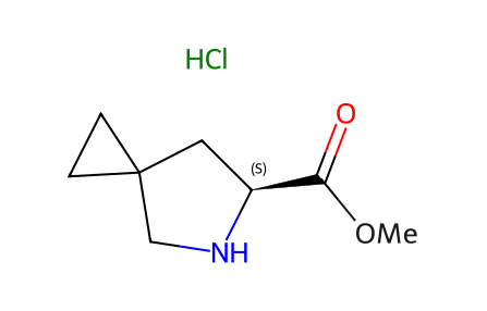 COC(=O)[C@@H]1CC2(CC2)CN1.Cl